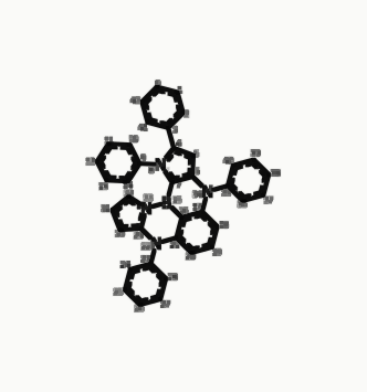 c1ccc(-c2cc3c(n2-c2ccccc2)B2c4c(cccc4N(c4ccccc4)c4cccn42)N3c2ccccc2)cc1